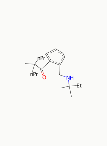 CCCC(C)(CCC)C(=O)c1ccccc1CNC(C)(C)CC